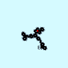 CCn1c2ccccc2c2ccc(/C=C/c3ccc(-c4cc(-c5ccc(/C=C\n6c7ccccc7c7ccccc76)cc5)cc(-c5ccc(/C=C/n6c7ccccc7c7ccccc76)cc5)c4)cc3)cc21